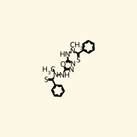 CN(Nc1nnc(NN(C)C(=S)c2ccccc2)o1)C(=S)c1ccccc1